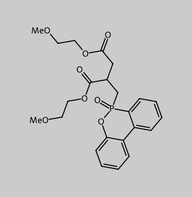 COCCOC(=O)CC(CP1(=O)Oc2ccccc2-c2ccccc21)C(=O)OCCOC